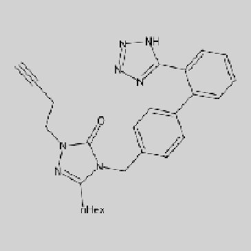 C#CCCn1nc(CCCCCC)n(Cc2ccc(-c3ccccc3-c3nnn[nH]3)cc2)c1=O